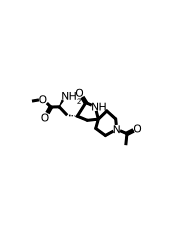 COC(=O)[C@@H](N)C[C@H]1CC2(CCN(C(C)=O)CC2)NC1=O